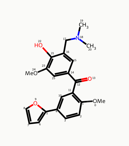 COc1ccc(-c2ccco2)cc1C(=O)c1cc(CN(C)C)c(O)c(OC)c1